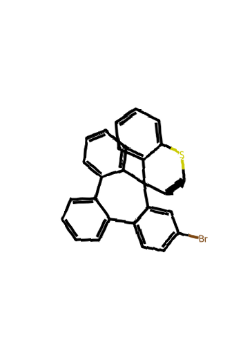 Brc1ccc2c(c1)C1(c3ccccc3Sc3ccccc31)c1ccccc1-c1ccccc1-2